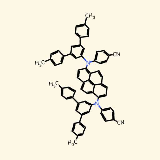 Cc1ccc(-c2cc(-c3ccc(C)cc3)cc(N(c3ccc(C#N)cc3)c3ccc4ccc5c(N(c6ccc(C#N)cc6)c6cc(-c7ccc(C)cc7)cc(-c7ccc(C)cc7)c6)ccc6ccc3c4c65)c2)cc1